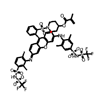 C=C(C)C(=O)OC1CCN(S(=O)(=O)c2ccccc2-c2c3cc/c(=N\c4c(C)ccc(S(=O)(=O)NS(=O)(=O)C(F)(F)F)c4C)cc-3oc3cc(Nc4c(C)cc(S(=O)(=O)NS(=O)(=O)C(F)(F)F)cc4C)ccc23)CC1